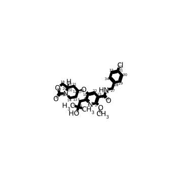 COc1nc(CC(C)(C)O)c(O[C@H]2CCN3C(=O)OC[C@@H]3C2)cc1C(=O)NCc1ccc(Cl)cc1